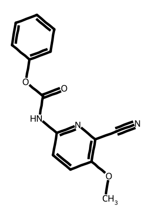 COc1ccc(NC(=O)Oc2ccccc2)nc1C#N